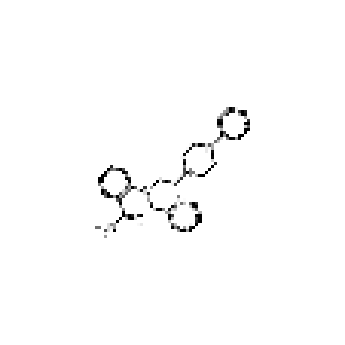 NC(=O)c1ccccc1N(CCN1CCN(c2ccccc2)CC1)Cc1ccccn1